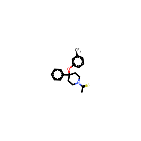 CC(=S)N1CCC(Oc2cccc(C(F)(F)F)c2)(c2ccccc2)CC1